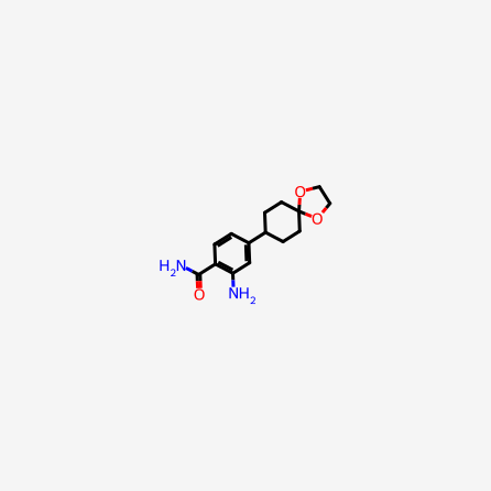 NC(=O)c1ccc(C2CCC3(CC2)OCCO3)cc1N